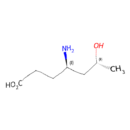 C[C@@H](O)C[C@H](N)CCC(=O)O